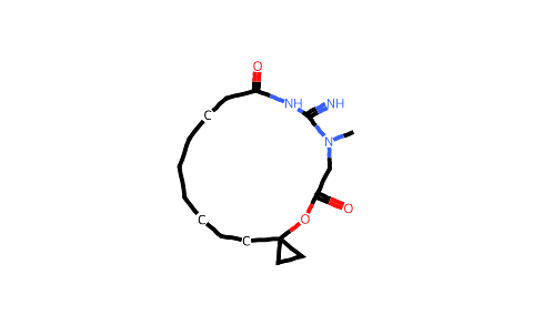 CN1CC(=O)OC2(CCCCCCCCC(=O)NC1=N)CC2